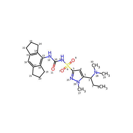 CCC(c1cc(S(=O)(=O)NC(=O)Nc2c3c(cc4c2CCC4)CCC3)nn1C)N(C)C